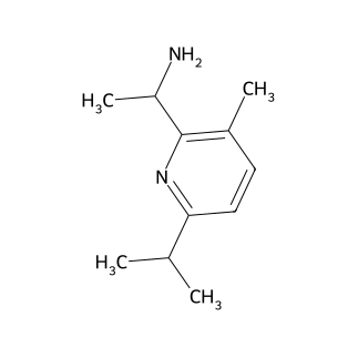 Cc1ccc(C(C)C)nc1C(C)N